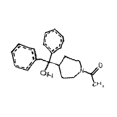 CC(=O)N1CCC(C(O)(c2ccccc2)c2ccccc2)CC1